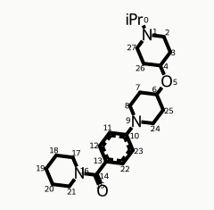 CC(C)N1CCC(OC2CCN(c3ccc(C(=O)N4CCCCC4)cc3)CC2)CC1